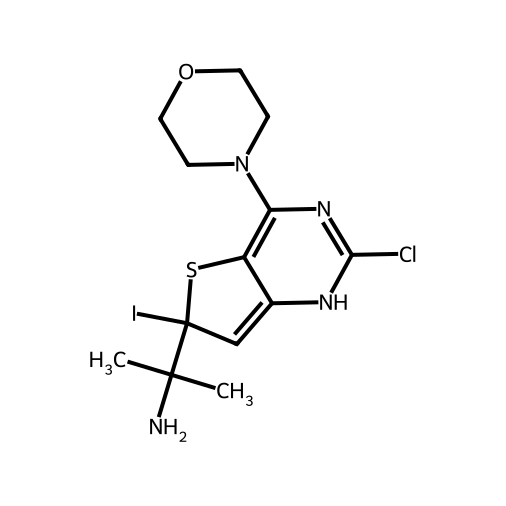 CC(C)(N)C1(I)C=C2NC(Cl)=NC(N3CCOCC3)=C2S1